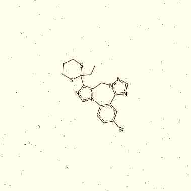 CCC1(c2ncn3c2Cn2ncnc2-c2cc(Br)ccc2-3)SCCCS1